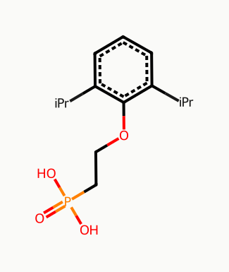 CC(C)c1cccc(C(C)C)c1OCCP(=O)(O)O